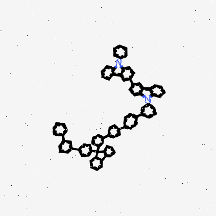 c1ccc(-c2cccc(-c3ccc(C4(c5cccc(-c6ccc(-c7ccc(-c8cccc(-n9c%10ccccc%10c%10cc(-c%11ccc%12c(c%11)c%11ccccc%11n%12-c%11ccccc%11)ccc%109)c8)cc7)cc6)c5)c5ccccc5-c5ccccc54)cc3)c2)cc1